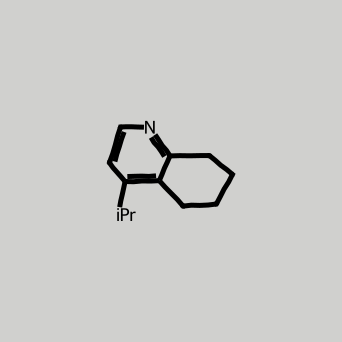 CC(C)c1ccnc2c1CCCC2